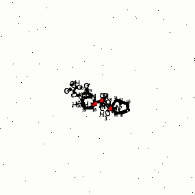 CC(C)(C)OC(=O)N1C2CCC1CC(NC(=O)[C@@H]1CC[C@@H]3CN1C(=O)N3OS(=O)(=O)O)C2